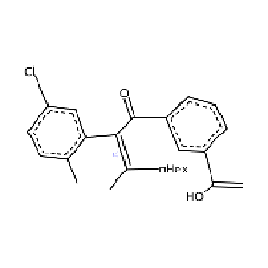 C=C(O)c1cccc(C(=O)/C(=C(/C)CCCCCC)c2cc(Cl)ccc2C)c1